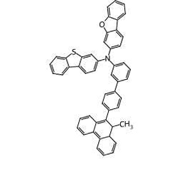 CC1C(c2ccc(-c3cccc(N(c4ccc5c(c4)oc4ccccc45)c4ccc5c(c4)sc4ccccc45)c3)cc2)=c2ccccc2=C2C=CC=CC21